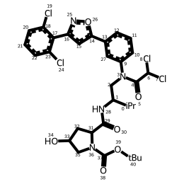 CC(C)C(CN(C(=O)C(Cl)Cl)c1cccc(-c2cc(-c3c(Cl)cccc3Cl)no2)c1)NC(=O)C1CC(O)CN1C(=O)OC(C)(C)C